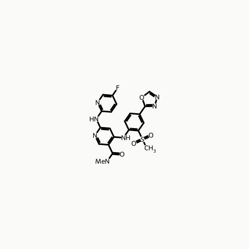 CNC(=O)c1cnc(Nc2ccc(F)cn2)cc1Nc1ccc(-c2nnco2)cc1S(C)(=O)=O